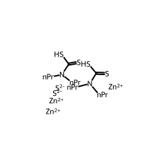 CCCN(CCC)C(=S)S.CCCN(CCC)C(=S)S.[S-2].[S-2].[Zn+2].[Zn+2].[Zn+2]